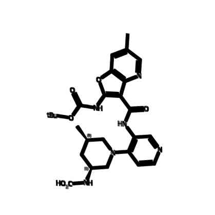 Cc1cnc2c(C(=O)Nc3cnccc3N3C[C@H](C)C[C@H](NC(=O)O)C3)c(NC(=O)OC(C)(C)C)oc2c1